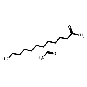 CC=O.CCCCCCCCCCCC(C)=O